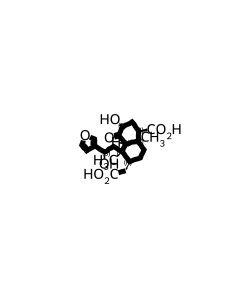 C[C@@]1(C[C@H](O)c2ccoc2)[C@@H](CC(=O)O)CC[C@]2(C)[C@@H]1C(=O)[C@@H](O)C[C@H]2C(=O)O